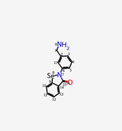 NCc1cccc(-n2[se]c3ccccc3c2=O)c1